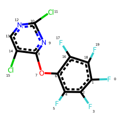 Fc1c(F)c(F)c(Oc2nc(Cl)ncc2Cl)c(F)c1F